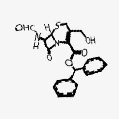 O=CNC1C(=O)N2C(C(=O)OC(c3ccccc3)c3ccccc3)=C(CO)CS[C@H]12